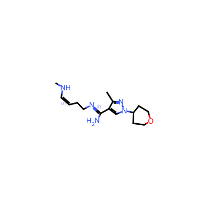 CN/C=C\CC/N=C(\N)c1cn(C2CCOCC2)nc1C